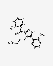 COCCCn1c(-c2ccccc2OC)nnc1C(S)c1ccccc1C#N